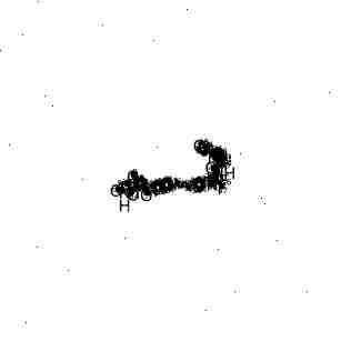 COc1ccc(C(=O)N2CCC3(CCN(CCCCN4CCC(n5cc(NC(=O)c6cnn7ccc(N8CCOCC8)nc67)c(C(F)F)n5)CC4)CC3)CC2)cc1N1CCC(=O)NC1=O